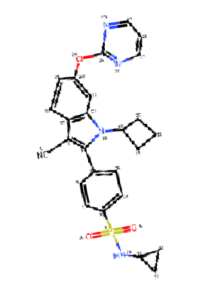 N#Cc1c(-c2ccc(S(=O)(=O)NC3CC3)cc2)n(C2CCC2)c2cc(Oc3ncccn3)ccc12